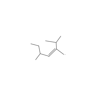 [CH2]/C(=C/C(C)CC)C(C)C